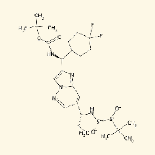 CC[C@@H](N[S@@+]([O-])[S+]([O-])C(C)(C)C)c1cnn2cc([C@@H](NC(=O)OC(C)(C)C)C3CCC(F)(F)CC3)nc2c1